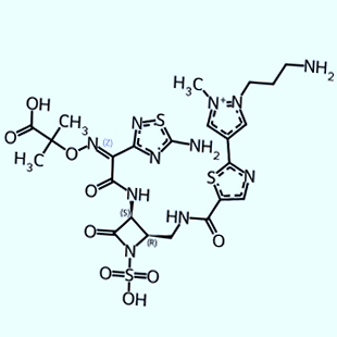 C[n+]1cc(-c2ncc(C(=O)NC[C@@H]3[C@H](NC(=O)/C(=N\OC(C)(C)C(=O)O)c4nsc(N)n4)C(=O)N3S(=O)(=O)O)s2)cn1CCCN